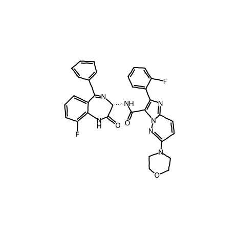 O=C(N[C@H]1N=C(c2ccccc2)c2cccc(F)c2NC1=O)c1c(-c2ccccc2F)nc2ccc(N3CCOCC3)nn12